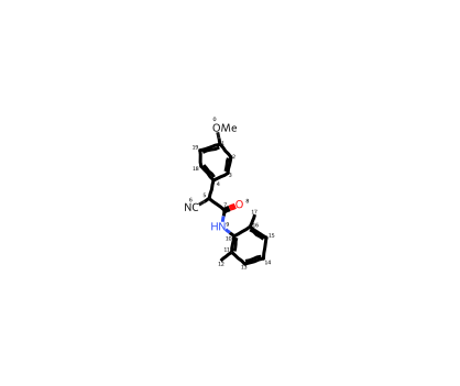 COc1ccc(C(C#N)C(=O)Nc2c(C)cccc2C)cc1